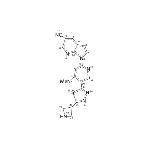 CNc1cc(-n2ccc3cc(C#N)cnc32)ncc1-c1nnc(C2CNC2)s1